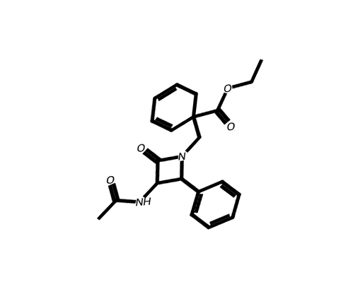 CCOC(=O)C1(CN2C(=O)C(NC(C)=O)C2c2ccccc2)C=CC=CC1